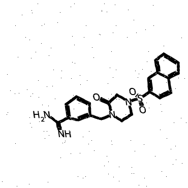 N=C(N)c1cccc(CN2CCN(S(=O)(=O)c3ccc4ccccc4c3)CC2=O)c1